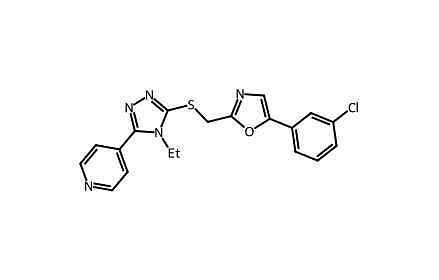 CCn1c(SCc2ncc(-c3cccc(Cl)c3)o2)nnc1-c1ccncc1